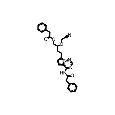 N#CCOC(CCc1ccc2c(NC(=O)Cc3ccccc3)ncnn12)COC(=O)Cc1ccccc1